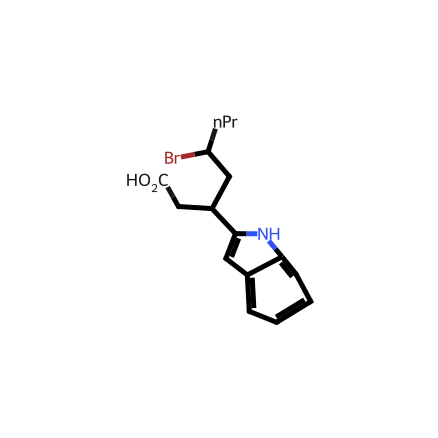 CCCC(Br)CC(CC(=O)O)c1cc2ccccc2[nH]1